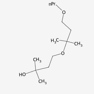 CCCOCCC(C)(C)OCCC(C)(C)O